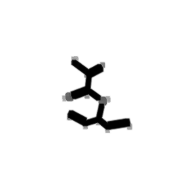 C=CC(C=C)OC(=O)C(=C)C